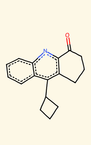 O=C1CCCc2c1nc1ccccc1c2C1CCC1